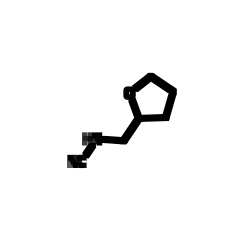 N#CNCC1CCCO1